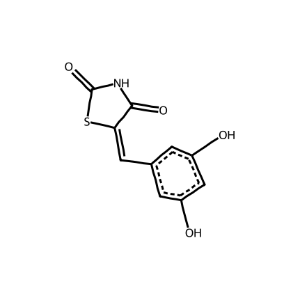 O=C1NC(=O)/C(=C\c2cc(O)cc(O)c2)S1